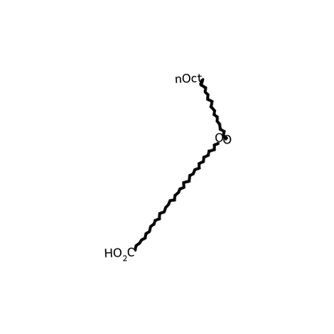 CCCCCCCCC=CCCCCCCCCCCCCCC(=O)OCCCCCCCCCCCCCCCCCCCCCCCCCCCCCCCCCCCC(=O)O